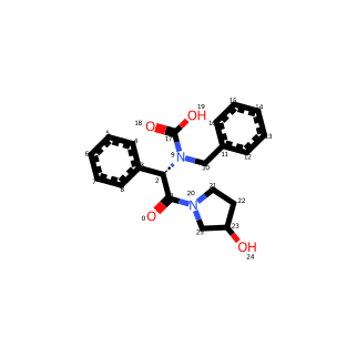 O=C([C@H](c1ccccc1)N(Cc1ccccc1)C(=O)O)N1CCC(O)C1